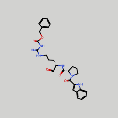 N=C(NCCC[C@@H](C=O)NC(=O)[C@@H]1CCCN1C(=O)c1cc2ccccc2[nH]1)NC(=O)OCc1ccccc1